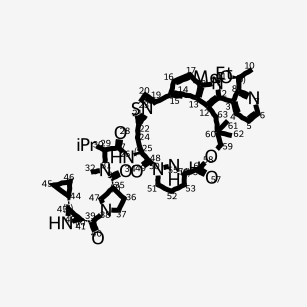 CCn1c(-c2cccnc2[C@H](C)OC)c2c3cc(ccc31)-c1csc(n1)C[C@H](NC(=O)C(C(C)C)N(C)C(=O)[C@@H]1CCN(C(=O)[C@@H]3N[C@@H]3C3CC3)C1)C(=O)N1CCC[C@H](N1)C(=O)OCC(C)(C)C2